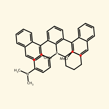 COc1ccc2ccccc2c1-c1cccc(-c2c(OC)ccc3ccccc23)c1P(c1ccc(N(C)C)cc1)C1CCCCC1